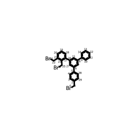 BrCc1ccc(-c2cc(-c3ccccc3)cc(-c3cccc(CBr)c3CBr)c2)cc1